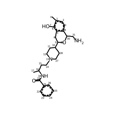 Cc1ccc2c(c1O)CC(C1CCN(CCC(C)NC(=O)c3ccccc3)CC1)OC2CN